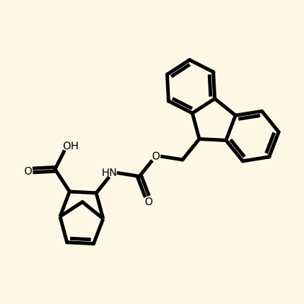 O=C(NC1C2C=CC(C2)C1C(=O)O)OCC1c2ccccc2-c2ccccc21